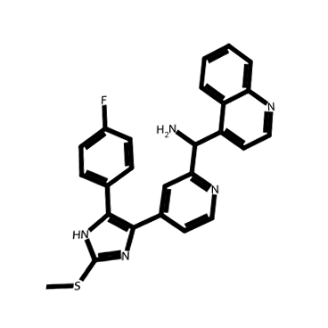 CSc1nc(-c2ccnc(C(N)c3ccnc4ccccc34)c2)c(-c2ccc(F)cc2)[nH]1